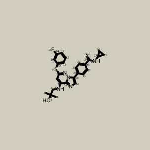 CC(C)(O)CNc1cc(Sc2cccc(F)c2)nn2c(-c3ccc(C(=S)NC4CC4)cc3)cnc12